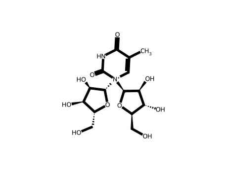 CC1=C[N+]([C@@H]2O[C@H](CO)[C@@H](O)[C@H]2O)([C@@H]2O[C@H](CO)[C@@H](O)[C@@H]2O)C(=O)NC1=O